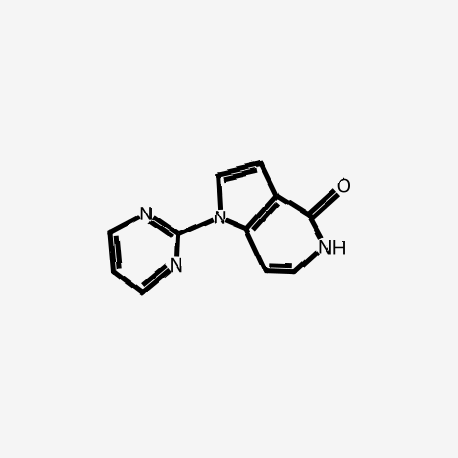 O=c1[nH]ccc2c1ccn2-c1ncccn1